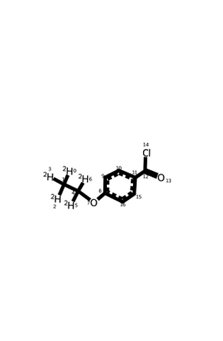 [2H]C([2H])([2H])C([2H])([2H])Oc1ccc(C(=O)Cl)cc1